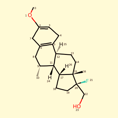 COC1=CCC2=C(C1)C[C@@H](C)[C@@H]1[C@@H]2CC[C@@]2(C)[C@@H]1CC[C@@]2(F)CO